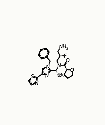 CC(C)(C)[C@H](c1nc(-c2nccs2)cn1Cc1ccccc1)N(C[C@H](F)CN)C(=O)[C@@H]1CCCO1